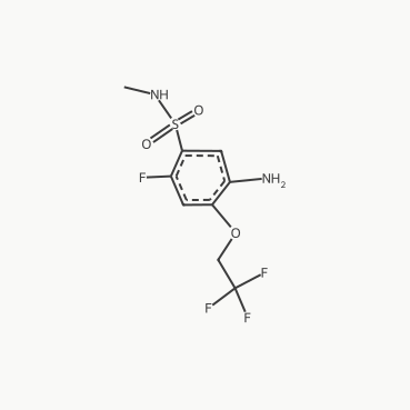 CNS(=O)(=O)c1cc(N)c(OCC(F)(F)F)cc1F